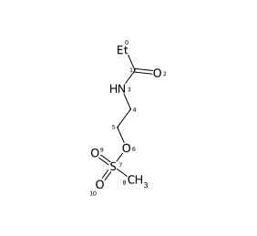 CCC(=O)NCCOS(C)(=O)=O